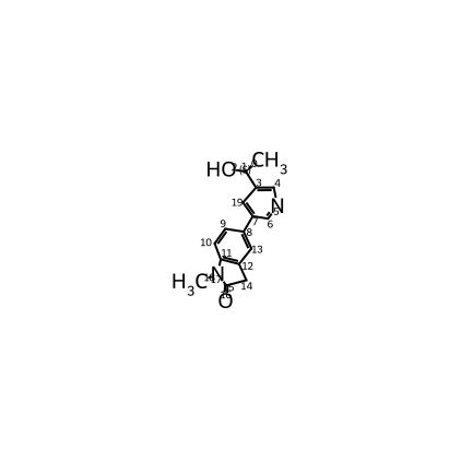 C[C@H](O)c1cncc(-c2ccc3c(c2)CC(=O)N3C)c1